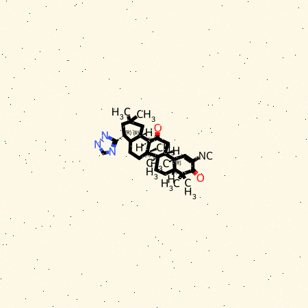 [C-]#[N+]C1=C[C@]2(C)[C@H]3CC(=O)[C@@H]4[C@@H]5CC(C)(C)C[C@@H](C6=NCN=N6)C5CC[C@@]4(C)[C@]3(C)CC[C@H]2C(C)(C)C1=O